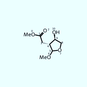 COC(=O)C[C@H]1C(OC)OC[C@@H]1O